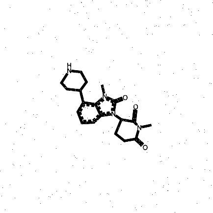 CN1C(=O)CCC(n2c(=O)n(C)c3c(C4CCNCC4)cccc32)C1=O